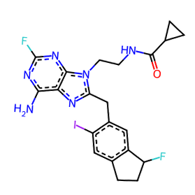 Nc1nc(F)nc2c1nc(Cc1cc3c(cc1I)CCC3F)n2CCNC(=O)C1CC1